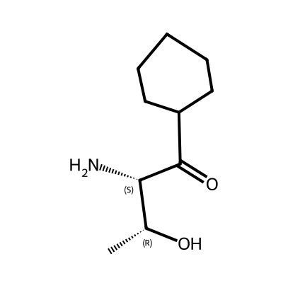 C[C@@H](O)[C@H](N)C(=O)C1CCCCC1